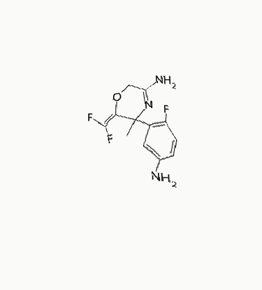 CC1(c2cc(N)ccc2F)N=C(N)COC1=C(F)F